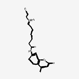 Cc1cc(=O)oc2cc(NC(=O)CCCCCNCC=O)ccc12